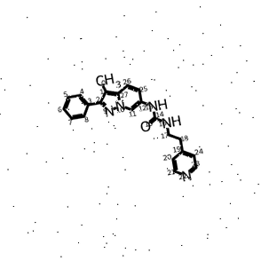 Cc1c(-c2ccccc2)nn2cc(NC(=O)NCCc3ccncc3)ccc12